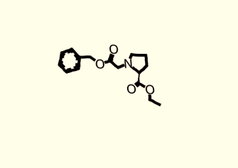 CCOC(=O)[C@@H]1CCCN1CC(=O)OCc1ccccc1